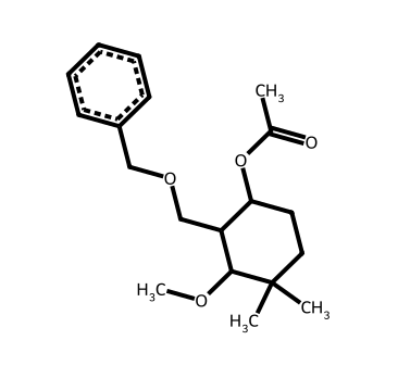 COC1C(COCc2ccccc2)C(OC(C)=O)CCC1(C)C